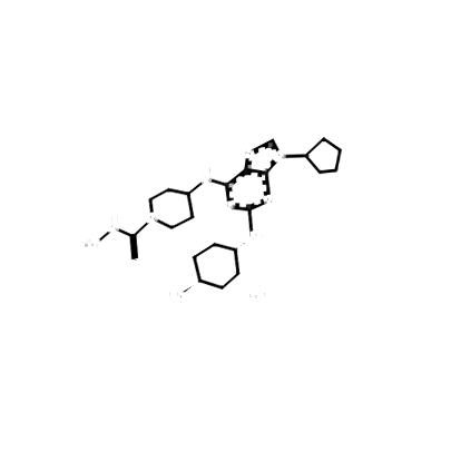 CCCCNC(=O)N1CCC(Nc2nc(N[C@H]3CC[C@H](N)CC3)nc3c2ncn3C2CCCC2)CC1.Cl.Cl